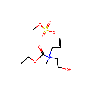 C=CC[N+](C)(CCO)C(=O)OCC.COS(=O)(=O)[O-]